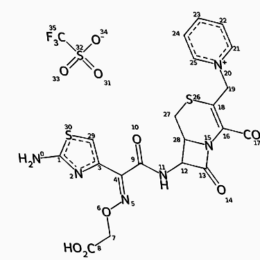 Nc1nc(C(=NOCC(=O)O)C(=O)NC2C(=O)N3C(C(=O)O)=C(C[n+]4ccccc4)SCC23)cs1.O=S(=O)([O-])C(F)(F)F